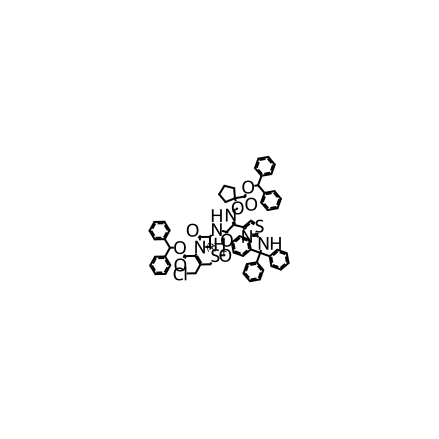 O=C(NC1C(=O)N2C(C(=O)OC(c3ccccc3)c3ccccc3)=C(CCl)C[S+]([O-])[C@H]12)C(=NOC1(C(=O)OC(c2ccccc2)c2ccccc2)CCCC1)c1csc(NC(c2ccccc2)(c2ccccc2)c2ccccc2)n1